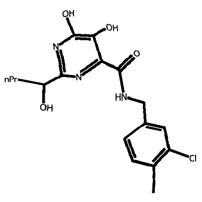 CCCC(O)c1nc(O)c(O)c(C(=O)NCc2ccc(C)c(Cl)c2)n1